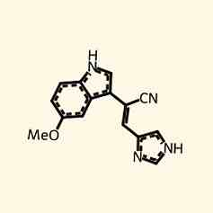 COc1ccc2[nH]cc(C(C#N)=Cc3c[nH]cn3)c2c1